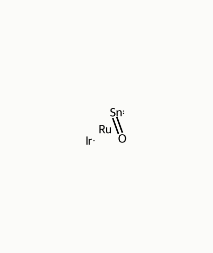 [Ir].[O]=[Sn].[Ru]